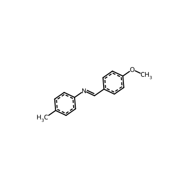 COc1ccc(C=Nc2ccc(C)cc2)cc1